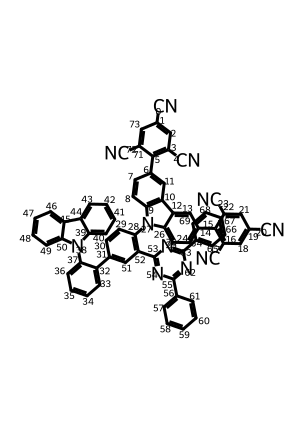 N#Cc1cc(C#N)c(-c2ccc3c(c2)c2cc(-c4c(C#N)cc(C#N)cc4C#N)ccc2n3-c2ccc(-c3ccccc3-n3c4ccccc4c4ccccc43)cc2-c2nc(-c3ccccc3)nc(-c3ccccc3)n2)c(C#N)c1